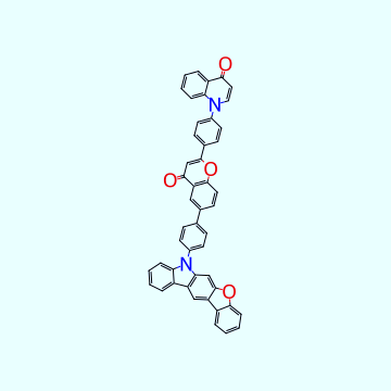 O=c1cc(-c2ccc(-n3ccc(=O)c4ccccc43)cc2)oc2ccc(-c3ccc(-n4c5ccccc5c5cc6c(cc54)oc4ccccc46)cc3)cc12